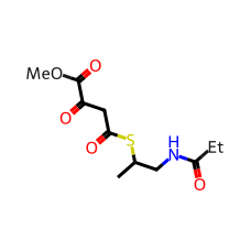 CCC(=O)NCC(C)SC(=O)CC(=O)C(=O)OC